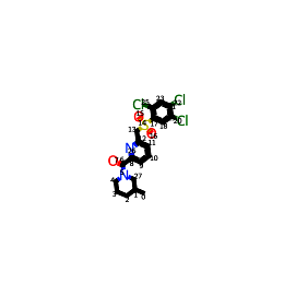 CC1CCCN(C(=O)c2cccc(CS(=O)(=O)c3cc(Cl)c(Cl)cc3Cl)n2)C1